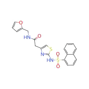 O=C(Cc1csc(NS(=O)(=O)c2cccc3ccccc23)n1)NCc1ccco1